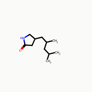 CC(C)CC(C)CC1CNC(=O)C1